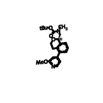 COc1cc(-c2cccc3c2CCO[C@@H]3CN(C)C(=O)OC(C)(C)C)ccn1